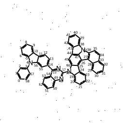 c1ccc(-n2c3ccccc3c3ccc(-c4nc(-n5c6ccccc6c6c7c8c9ccccc9ccc8n8c9ccccc9c(cc65)c78)nc5ccccc45)cc32)cc1